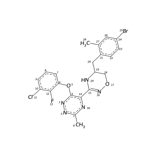 Cc1nnc(Oc2cccc(Cl)c2F)c(C2=NOCC(Cc3ccc(Br)cc3C)N2)n1